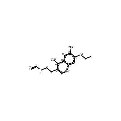 CCOc1cc2ncc(CCOC=O)c(Cl)c2cc1Br